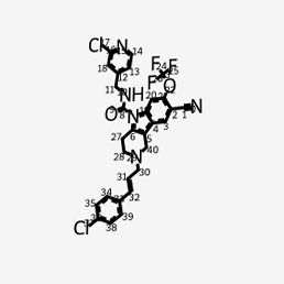 N#Cc1cc2c3c(n(C(=O)NCc4ccnc(Cl)c4)c2cc1OC(F)(F)F)CCN(CC=Cc1ccc(Cl)cc1)C3